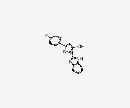 Oc1cc(-c2ccc(F)cc2)nn1-c1nc2ccccc2[nH]1